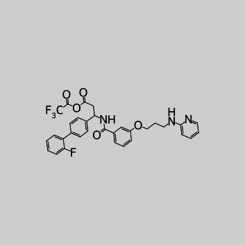 O=C(CC(NC(=O)c1cccc(OCCCNc2ccccn2)c1)c1ccc(-c2ccccc2F)cc1)OC(=O)C(F)(F)F